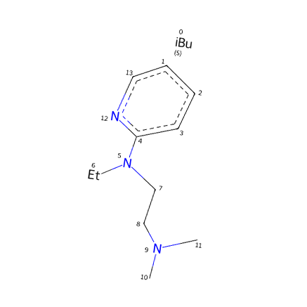 CC[C@H](C)c1ccc(N(CC)CCN(C)C)nc1